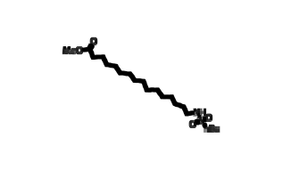 CCCCS(=O)(=O)NCCCCCCCCCCCCCCCC(=O)OC